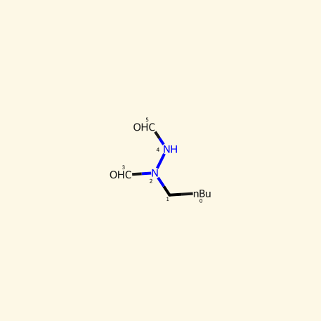 CCCCCN(C=O)NC=O